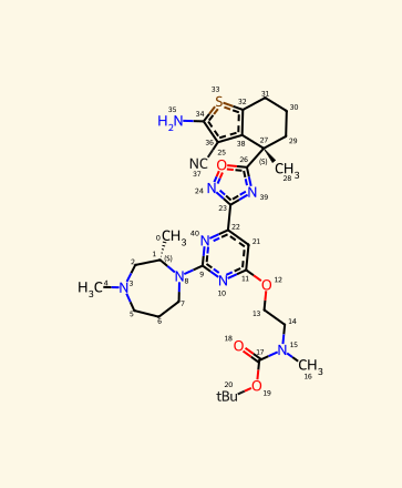 C[C@H]1CN(C)CCCN1c1nc(OCCN(C)C(=O)OC(C)(C)C)cc(-c2noc([C@@]3(C)CCCc4sc(N)c(C#N)c43)n2)n1